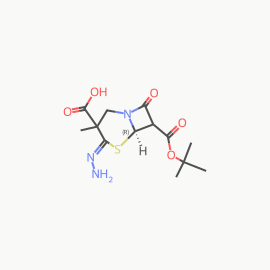 CC(C)(C)OC(=O)C1C(=O)N2CC(C)(C(=O)O)C(=NN)S[C@H]12